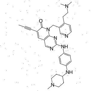 CC#Cc1cc2cnc(Nc3ccc(NC4CCN(C)CC4)cc3)nc2n(Cc2cnccc2CCN(C)C)c1=O